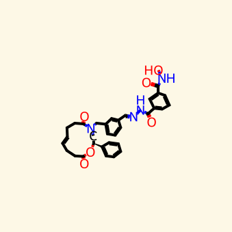 O=C1CC/C=C/CCC(=O)N(Cc2cccc(/C=N/NC(=O)c3cccc(C(=O)NO)c3)c2)C[C@@H](c2ccccc2)O1